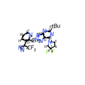 CC(C)(C)c1nc(N2CCC(F)(F)C2)c2nn(Cc3ncccc3C3(C(F)(F)F)N=N3)nc2n1